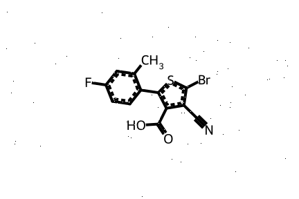 Cc1cc(F)ccc1-c1sc(Br)c(C#N)c1C(=O)O